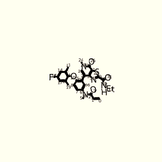 C=CC(=O)N(C)c1ccc(Oc2c(C)cc(F)cc2C)c(-c2cn(C)c(=O)c3sc(C(=O)NCC)nc23)c1